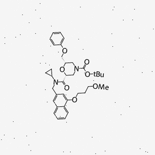 COCCCOc1cc(CN(C(=O)[C@H]2CN(C(=O)OC(C)(C)C)C[C@@H](COc3ccccc3)O2)C2CC2)cc2ccccc12